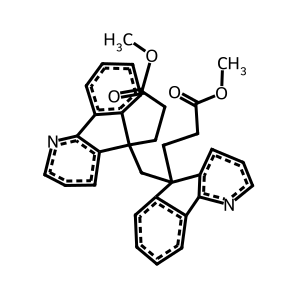 COC(=O)CCC1(CC2(CCC(=O)OC)c3ccccc3-c3ncccc32)c2ccccc2-c2ncccc21